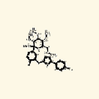 COC1(c2ccc(C)c(Cc3ccc(-c4ccc(F)cc4)s3)c2)O[C@H](COP)[C@@H](OP)[C@H](OP)[C@H]1OP